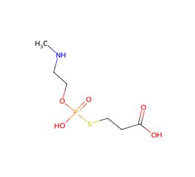 CNCCOP(=O)(O)SCCC(=O)O